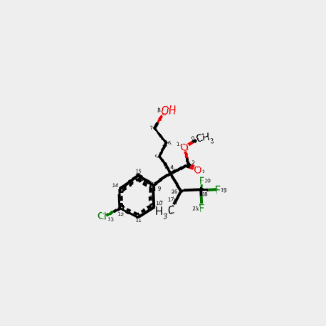 COC(=O)C(CCCO)(c1ccc(Cl)cc1)C(C)C(F)(F)F